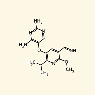 COc1nc(C(C)C)c(Oc2cnc(N)nc2N)cc1C=N